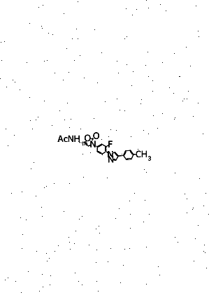 CC(=O)NC[C@H]1CN(c2ccc(-n3cc(-c4ccc(C)cc4)cn3)c(F)c2)C(=O)O1